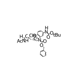 CC(=O)NC(C)(C)C[C@H]1CN(C(=O)OCc2ccccc2)c2cc(NC(=O)OC(C)(C)C)ccc2O1